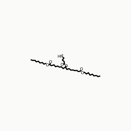 CCCCCCCCCOC(=O)CCCCCCCC(CCCCCCCC(=O)OCCCCCCCCC)OC(=O)CCCNC